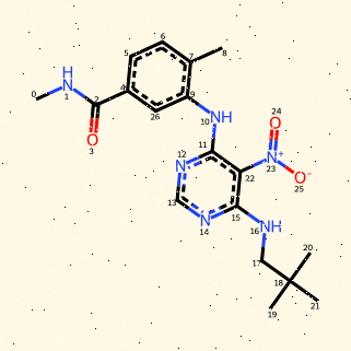 CNC(=O)c1ccc(C)c(Nc2ncnc(NCC(C)(C)C)c2[N+](=O)[O-])c1